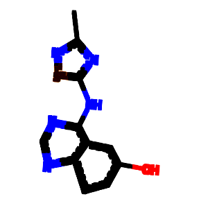 Cc1nsc(Nc2ncnc3ccc(O)cc23)n1